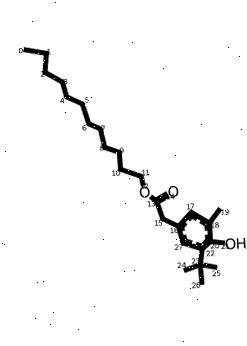 CCCCCCCCCCCCOC(=O)Cc1cc(C)c(O)c(C(C)(C)C)c1